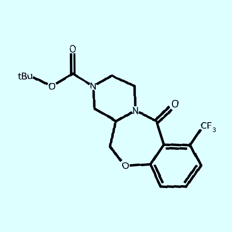 CC(C)(C)OC(=O)N1CCN2C(=O)c3c(cccc3C(F)(F)F)OCC2C1